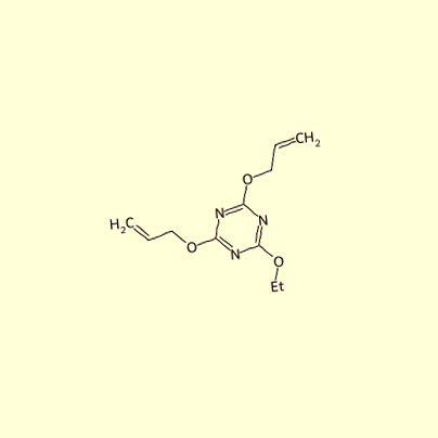 C=CCOc1nc(OCC)nc(OCC=C)n1